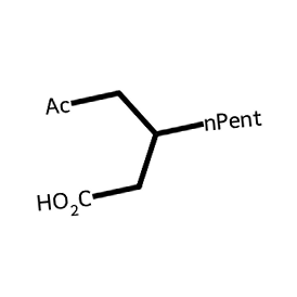 CCCCCC(CC(C)=O)CC(=O)O